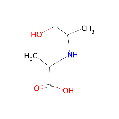 CC(CO)NC(C)C(=O)O